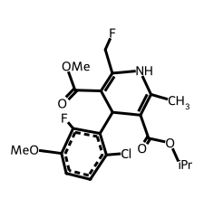 COC(=O)C1=C(CF)NC(C)=C(C(=O)OC(C)C)C1c1c(Cl)ccc(OC)c1F